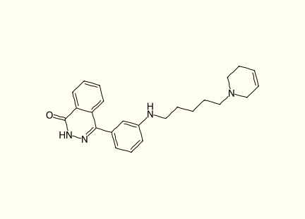 O=c1[nH]nc(-c2cccc(NCCCCCN3CC=CCC3)c2)c2ccccc12